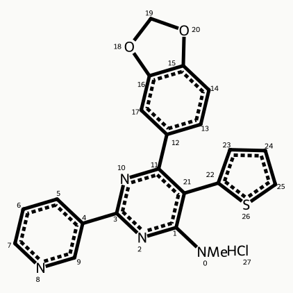 CNc1nc(-c2cccnc2)nc(-c2ccc3c(c2)OCO3)c1-c1cccs1.Cl